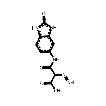 CC(=O)C(N=N)C(=O)Nc1ccc2[nH]c(=O)[nH]c2c1